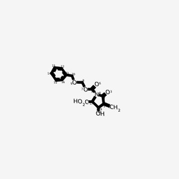 C=C1C(=O)N(C(=O)OCOCc2ccccc2)C(C(=O)O)C1O